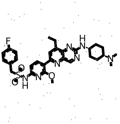 CCc1cc(-c2ccc(NS(=O)(=O)Cc3ccc(F)cc3)nc2OC)nc2cnc(N[C@H]3CC[C@H](N(C)C)CC3)nc12